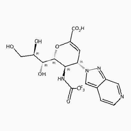 O=C(O)C1=C[C@H](n2cc3ccncc3n2)[C@@H](NC(=O)C(F)(F)F)[C@H]([C@H](O)[C@H](O)CO)O1